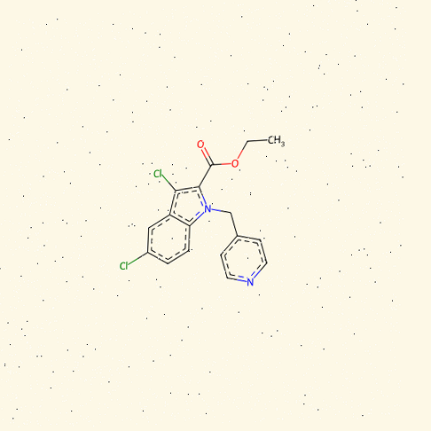 CCOC(=O)c1c(Cl)c2cc(Cl)ccc2n1Cc1ccncc1